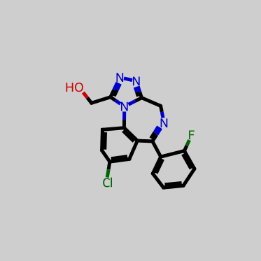 OCc1nnc2n1-c1ccc(Cl)cc1C(c1ccccc1F)=NC2